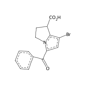 O=C(c1ccccc1)c1cc(Br)c2n1CCC2C(=O)O